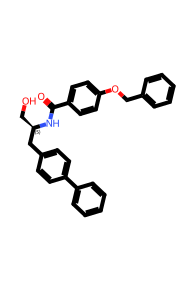 O=C(N[C@H](CO)Cc1ccc(-c2ccccc2)cc1)c1ccc(OCc2ccccc2)cc1